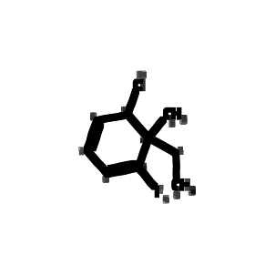 CCC1(C)C(F)=CC=CC1Cl